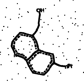 CCCc1ccc2nccc(CO)c2c1